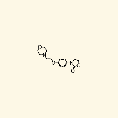 O=C1OCCN1c1ccc(OCCN2CCOCC2)cc1